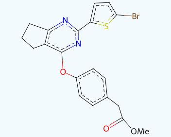 COC(=O)Cc1ccc(Oc2nc(-c3ccc(Br)s3)nc3c2CCC3)cc1